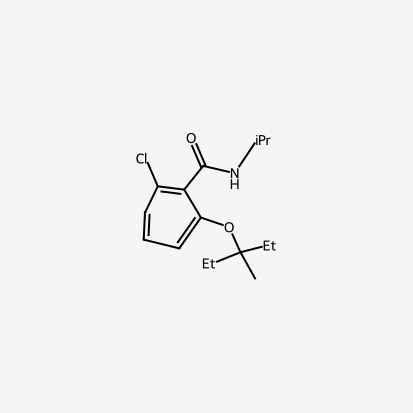 CCC(C)(CC)Oc1cccc(Cl)c1C(=O)NC(C)C